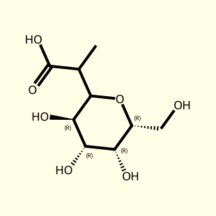 CC(C(=O)O)C1O[C@H](CO)[C@H](O)[C@H](O)[C@H]1O